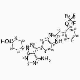 Nc1ncnc2c1c(-c1ccc3[nH]c(Cc4ccccc4OC(F)(F)F)nc3c1)nn2[C@H]1CC[C@H](O)CC1